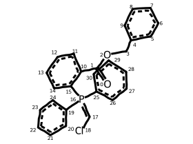 O=C(OCc1ccccc1)c1ccccc1P(=CCl)(c1ccccc1)c1ccccc1